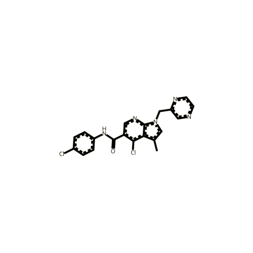 Cc1cn(Cc2cnccn2)c2ncc(C(=O)Nc3ccc(Cl)cc3)c(Cl)c12